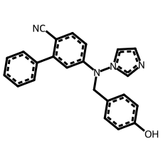 N#Cc1ccc(N(Cc2ccc(O)cc2)n2ccnc2)cc1-c1ccccc1